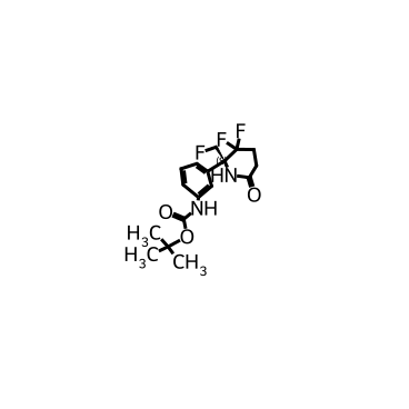 CC(C)(C)OC(=O)Nc1cccc([C@@]2(CF)NC(=O)CCC2(F)F)c1